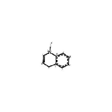 IN1C=CCc2ccccc21